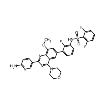 COc1cc(-c2cccc(NS(=O)(=O)c3c(F)cccc3F)c2F)cc2c(N3CCOCC3)nc(-c3ccc(N)nc3)nc12